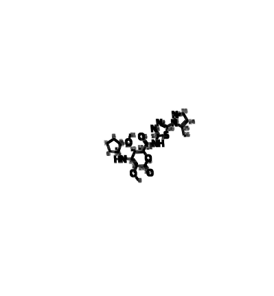 COc1c(N[C@@H]2CCC[C@@H]2OC)cc(C(=O)Nc2nnc(-n3nccc3C)s2)oc1=O